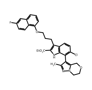 CCOC(=O)c1[nH]c2c(-c3c(C)nn4c3COCC4)c(Cl)ccc2c1CCCOc1cccc2cc(F)ccc12